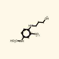 O=C(O)Nc1ccc(NCCCO)c([N+](=O)[O-])c1